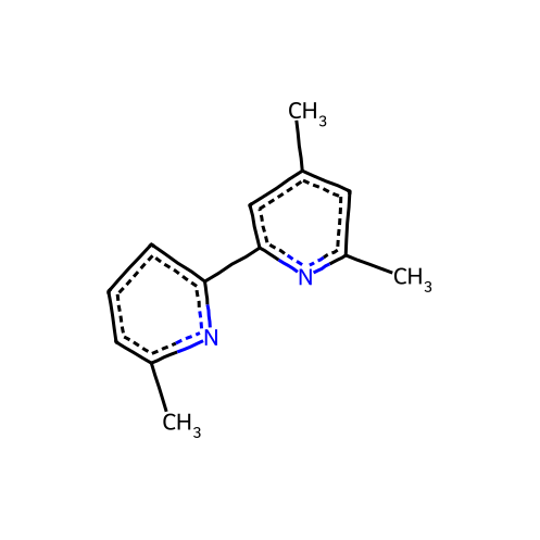 Cc1cc(C)nc(-c2cccc(C)n2)c1